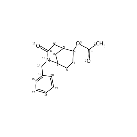 CC(=O)OC1CCC2CC1CC(=O)N2Cc1ccccc1